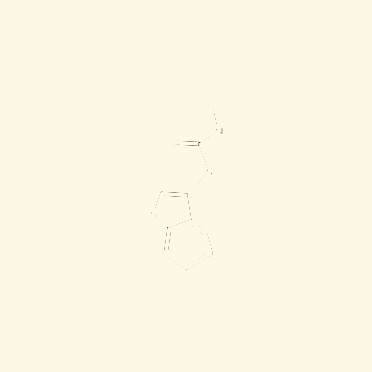 CCNC(=O)[N]c1c[nH]c2ccccc12